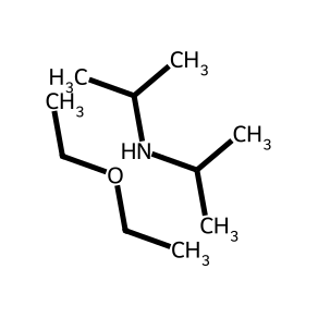 CC(C)NC(C)C.CCOCC